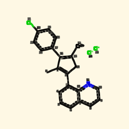 CC1=C(c2cccc3cccnc23)C[C]([Cr+2])=C1c1ccc(Cl)cc1.[Cl-].[Cl-]